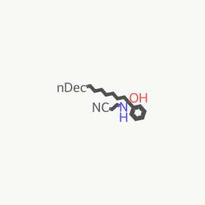 CCCCCCCCCCCCCCCCCC(O)(NCCC#N)c1ccccc1